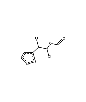 O=COC(Cl)C(Cl)c1ccns1